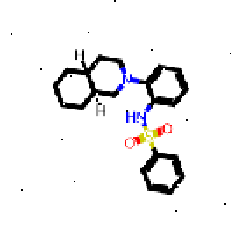 O=S(=O)(Nc1ccccc1N1CC[C@H]2CCCC[C@@H]2C1)c1ccccc1